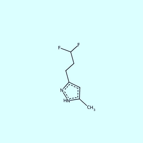 Cc1cc(CCC(F)F)n[nH]1